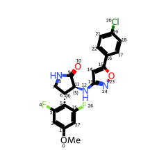 COc1cc(F)c([C@@H]2CNC(=O)[C@H]2Nc2cc(-c3ccc(Cl)cc3)on2)c(F)c1